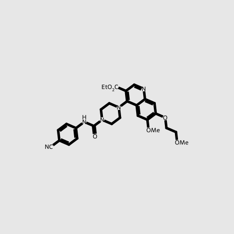 CCOC(=O)c1cnc2cc(OCCOC)c(OC)cc2c1N1CCN(C(=O)Nc2ccc(C#N)cc2)CC1